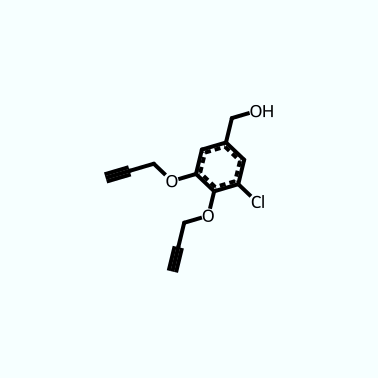 C#CCOc1cc(CO)cc(Cl)c1OCC#C